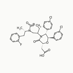 CCC(CN([C@@H](C)Cc1ccccc1F)[SH](=O)=O)N1C(=O)[C@@H](CC(=O)O)O[C@H](c2cccc(Cl)c2)[C@H]1c1ccc(Cl)cc1